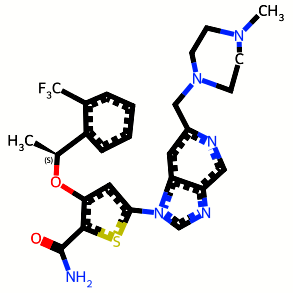 C[C@H](Oc1cc(-n2cnc3cnc(CN4CCN(C)CC4)cc32)sc1C(N)=O)c1ccccc1C(F)(F)F